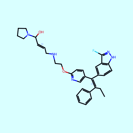 CC/C(=C(/c1ccc(OCCNC/C=C/C(O)N2CCCC2)nc1)c1ccc2[nH]nc(F)c2c1)c1ccccc1